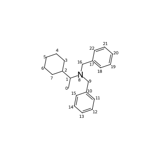 CC(C1CCCCC1)N(Cc1ccccc1)Cc1ccccc1